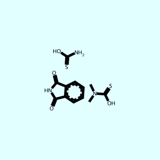 CN(C)C(O)=S.NC(O)=S.O=C1NC(=O)c2ccccc21